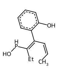 C/C=C\C(=C(/CC)PO)c1ccccc1O